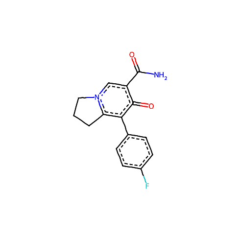 NC(=O)c1cn2c(c(-c3ccc(F)cc3)c1=O)CCC2